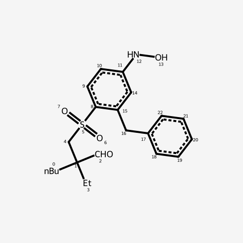 CCCCC(C=O)(CC)CS(=O)(=O)c1ccc(NO)cc1Cc1ccccc1